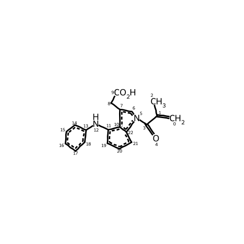 C=C(C)C(=O)n1cc(CC(=O)O)c2c(Nc3ccccc3)cccc21